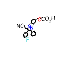 N#CCCc1c(-c2cccc(F)c2)c(-c2ccccc2)nn1C[C@H]1CC[C@H](COCC(=O)O)CC1